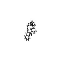 CCC#CN(Cc1ccncc1)C(=O)c1cccc(-c2ccccc2)c1